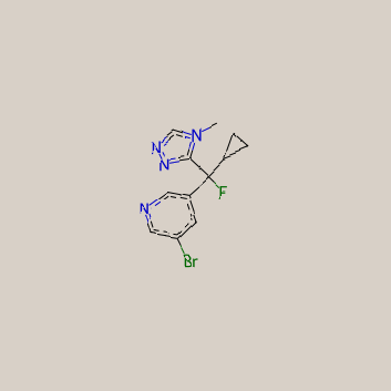 Cn1cnnc1C(F)(c1cncc(Br)c1)C1CC1